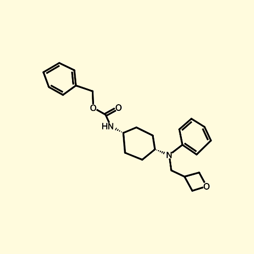 O=C(N[C@H]1CC[C@@H](N(CC2COC2)c2ccccc2)CC1)OCc1ccccc1